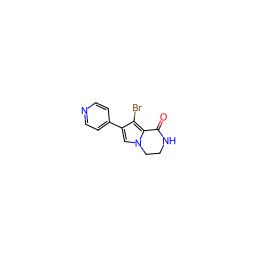 O=C1NCCn2cc(-c3ccncc3)c(Br)c21